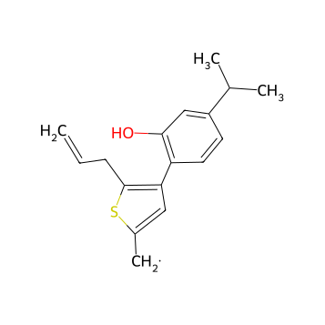 [CH2]c1cc(-c2ccc(C(C)C)cc2O)c(CC=C)s1